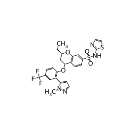 CC[C@@H]1CC(Oc2ccc(C(F)(F)F)cc2-c2ccnn2C)c2ccc(S(=O)(=O)Nc3nccs3)cc2O1